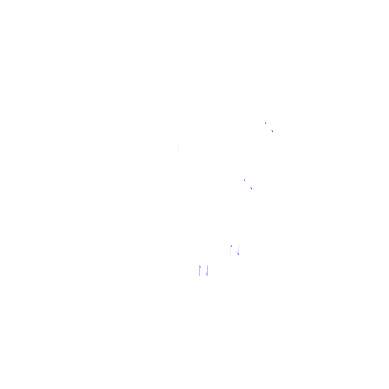 Cc1nn(C)c(-n2cnc(C)c2C)c1C(=O)c1ccccc1Cl